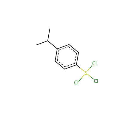 CC(C)c1ccc(S(Cl)(Cl)Cl)cc1